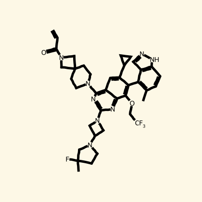 C=CC(=O)N1CC2(CCN(c3nc(N4CC(N5CCC(C)(F)C5)C4)nc4c(OCC(F)(F)F)c(-c5c(C)ccc6[nH]ncc56)c(C5CC5)cc34)CC2)C1